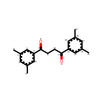 Cc1cc(C)cc(C(=O)CCC(=O)c2cc(C)cc(C)c2)c1